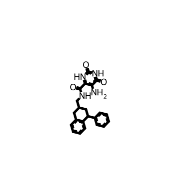 Nc1c(C(=O)NCC2Cc3ccccc3C(c3ccccc3)C2)[nH]c(=O)[nH]c1=O